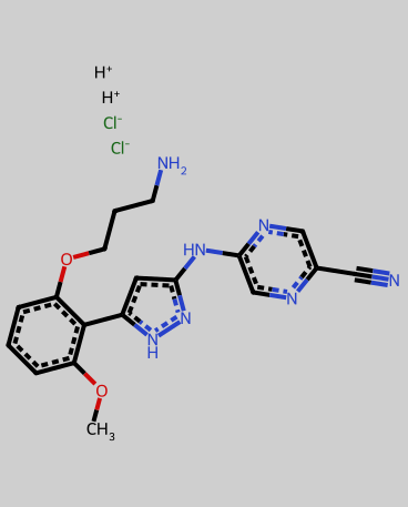 COc1cccc(OCCCN)c1-c1cc(Nc2cnc(C#N)cn2)n[nH]1.[Cl-].[Cl-].[H+].[H+]